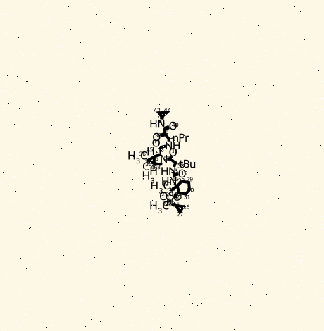 CCC[C@H](NC(=O)[C@@H]1[C@@H]2[C@H](CN1C(=O)[C@@H](NC(=O)NC1([C@@H](C)S(=O)(=O)N(C)C3CC3)CCCCC1)C(C)(C)C)C2(C)C)C(=O)C(=O)NC1CC1